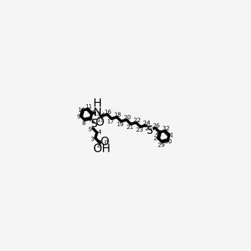 O=C(O)CCCSc1ccccc1NC(=O)CCCCCCCCCSCc1ccccc1